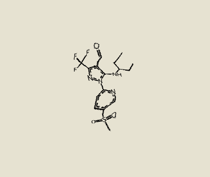 CCC(CC)Nc1c(C=O)c(C(F)(F)F)nn1-c1ccc(S(C)(=O)=O)cn1